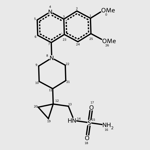 COc1cc2nccc(N3CCC(C4(CNS(N)(=O)=O)CC4)CC3)c2cc1OC